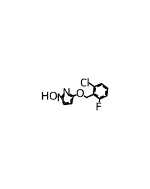 On1ccc(OCc2c(F)cccc2Cl)n1